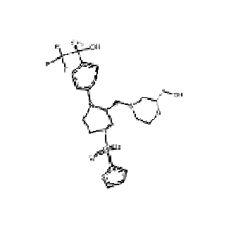 C[C@@](O)(c1ccc(N2CCN(S(=O)(=O)c3cccs3)C[C@@H]2CN2CCO[C@@H](CO)C2)cc1)C(F)(F)F